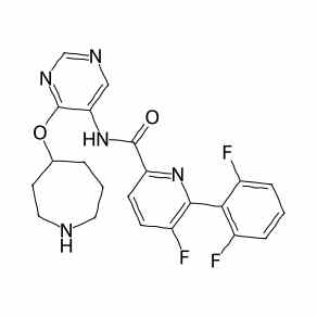 O=C(Nc1cncnc1OC1CCCNCC1)c1ccc(F)c(-c2c(F)cccc2F)n1